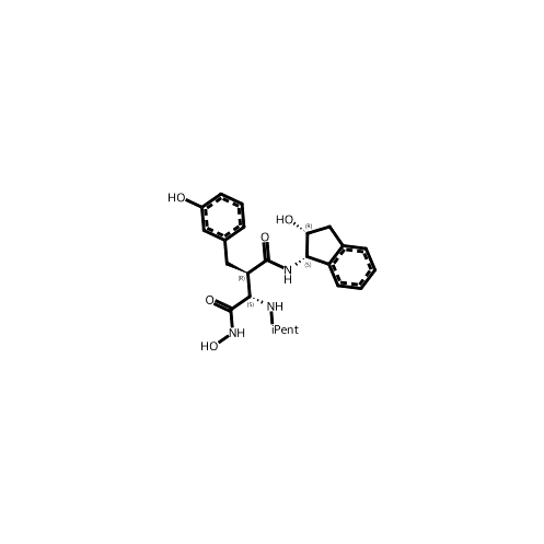 CCCC(C)N[C@H](C(=O)NO)[C@@H](Cc1cccc(O)c1)C(=O)N[C@H]1c2ccccc2C[C@H]1O